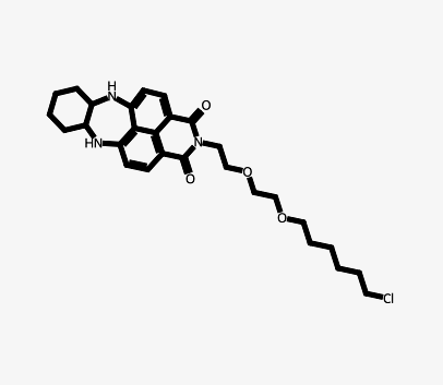 O=C1c2ccc3c4c(ccc(c24)C(=O)N1CCOCCOCCCCCCCl)NC1CCCCC1N3